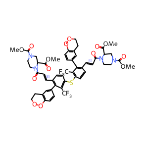 COC(=O)C1CN(C(=O)OC)CCN1C(=O)/C=C/c1ccc(Sc2ccc(/C=C/C(=O)N3CCN(C(=O)OC)CC3C(=O)OC)c(-c3ccc4c(c3)CCOO4)c2C(F)(F)F)c(C(F)(F)F)c1-c1ccc2c(c1)CCOO2